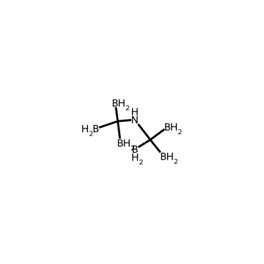 BC(B)(B)NC(B)(B)B